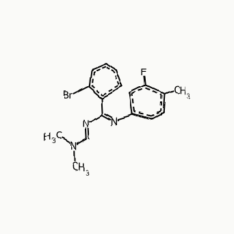 Cc1ccc(/N=C(/N=C/N(C)C)c2ccccc2Br)cc1F